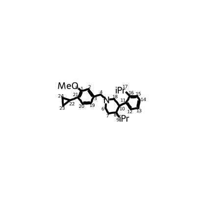 COc1cc(CN2CCC(C(C)C)C(c3ccccc3C(C)C)C2)ccc1C1CC1